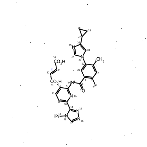 Cc1cc(F)c(C(=O)Nc2cccc(-c3nncn3C(C)C)n2)cc1-n1cnc(C2CC2)c1.O=C(O)/C=C/C(=O)O